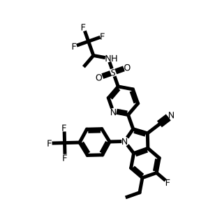 CCc1cc2c(cc1F)c(C#N)c(-c1ccc(S(=O)(=O)NC(C)C(F)(F)F)cn1)n2-c1ccc(C(F)(F)F)cc1